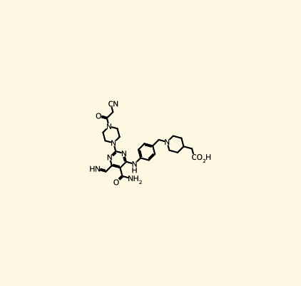 N#CCC(=O)N1CCN(c2nc(C=N)c(C(N)=O)c(Nc3ccc(CN4CCC(CC(=O)O)CC4)cc3)n2)CC1